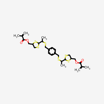 C=C(C)C(=O)OCC1CSC(C(C)SCc2ccc(CSC(C)C3SCC(COC(=O)C(=C)C)S3)cc2)S1